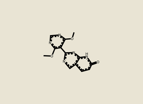 COc1ncnc(OC)c1-c1ncc2ccc(=O)[nH]c2n1